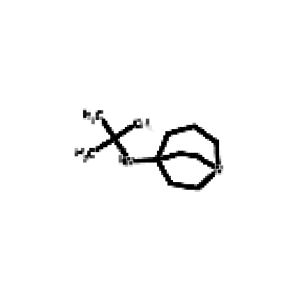 CC(C)(C)NC12CCCN(CC1)CC2